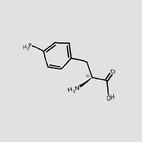 N[C@@H](Cc1ccc(P)cc1)C(=O)O